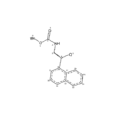 CC(C)(C)OC(=O)NCC(Cl)c1cccc2ccccc12